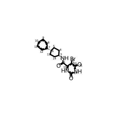 O=C(N[C@H]1CC[C@@H](c2ccccc2)CC1)c1[nH]c(=O)[nH]c(=O)c1Br